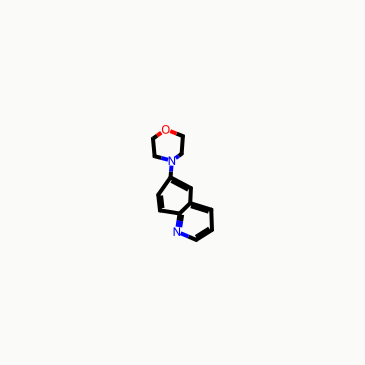 c1cnc2ccc(N3CCOCC3)cc2c1